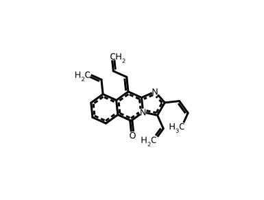 C=C/C=c1\c2c(C=C)cccc2c(=O)n2c(C=C)c(/C=C\C)nc12